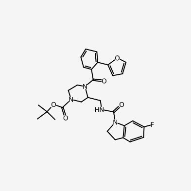 CC(C)(C)OC(=O)N1CCN(C(=O)c2ccccc2-c2ccco2)C(CNC(=O)N2CCc3ccc(F)cc32)C1